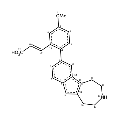 COc1ccc(-c2ccc3cc4n(c3c2)CCNCC4)c(/C=C/C(=O)O)c1